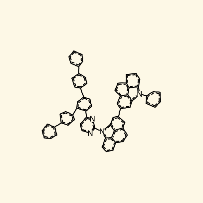 c1ccc(-c2ccc(-c3ccc(-c4ccnc(-n5c6cccc7ccc8cc(-c9cc%10ccc%11cccc%12c%11c%10c(c9)n%12-c9ccccc9)cc5c8c76)n4)c(-c4ccc(-c5ccccc5)cc4)c3)cc2)cc1